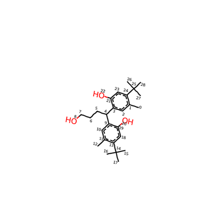 Cc1cc(C(CCCO)c2cc(C)c(C(C)(C)C)cc2O)c(O)cc1C(C)(C)C